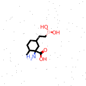 CC1CCC(CCB(O)O)CC1(N)C(=O)O